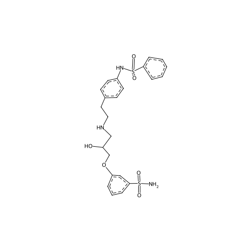 NS(=O)(=O)c1cccc(OCC(O)CNCCc2ccc(NS(=O)(=O)c3ccccc3)cc2)c1